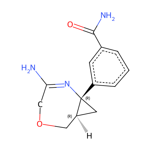 NC(=O)c1cccc([C@@]23C[C@H]2COCC(N)=N3)c1